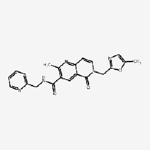 Cc1cnc(Cn2ccc3nc(C)c(C(=O)NCc4ccccn4)cc3c2=O)o1